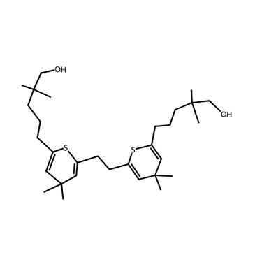 CC1(C)C=C(CCCC(C)(C)CO)SC(CCC2=CC(C)(C)C=C(CCCC(C)(C)CO)S2)=C1